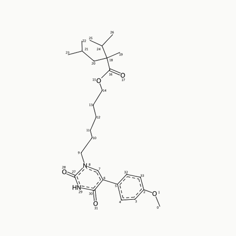 COc1ccc(-c2cn(CCCCCCOC(=O)C(C)(CC(C)C)C(C)C)c(=O)[nH]c2=O)cc1